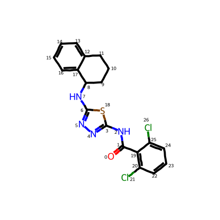 O=C(Nc1nnc(NC2CCCc3ccccc32)s1)c1c(Cl)cccc1Cl